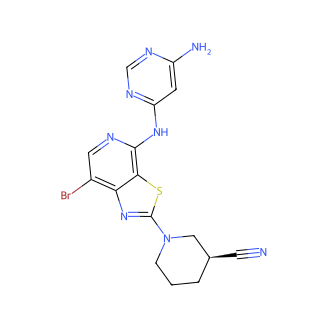 N#C[C@H]1CCCN(c2nc3c(Br)cnc(Nc4cc(N)ncn4)c3s2)C1